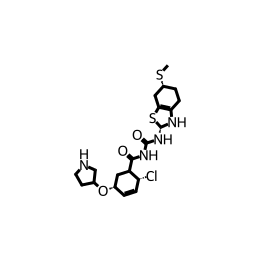 CS[C@@H]1CCC2=C(C1)S[C@@H](NC(=O)NC(=O)C1C[C@@H](OC3CCNC3)C=C[C@H]1Cl)N2